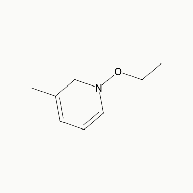 CCON1C=CC=C(C)C1